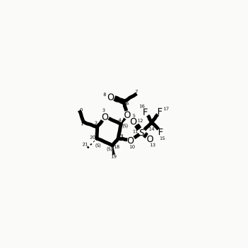 CCC1O[C@@H](OC(C)=O)C(OS(=O)(=O)C(F)(F)F)[C@@H](C)[C@@H]1C